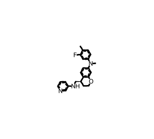 Cc1ccc(N(C)c2ccc3c(c2)OCC[C@H]3CNc2cccnc2)cc1F